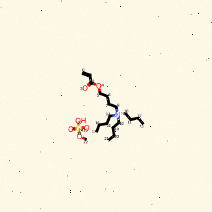 C=CC(=O)OCCCC[N+](CCCC)(CCCC)CCCC.COS(=O)(=O)O